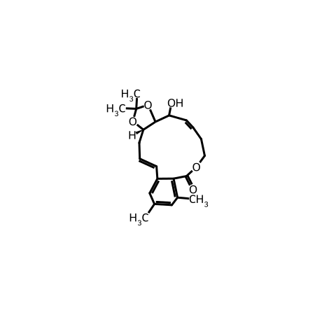 Cc1cc(C)c2c(c1)/C=C/C[C@@H]1OC(C)(C)OC1C(O)/C=C\CCOC2=O